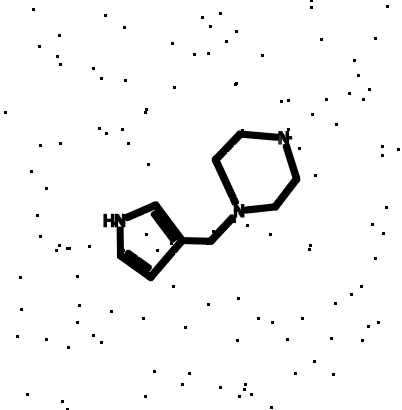 c1cc(CN2CC[N]CC2)c[nH]1